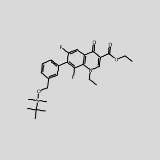 CCOC(=O)c1cn(CC)c2c(F)c(-c3cccc(CO[Si](C)(C)C(C)(C)C)c3)c(F)cc2c1=O